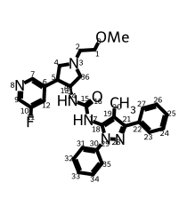 COCCN1CC(c2cncc(F)c2)[C@H](NC(=O)Nc2c(C)c(-c3ccccc3)nn2-c2ccccc2)C1